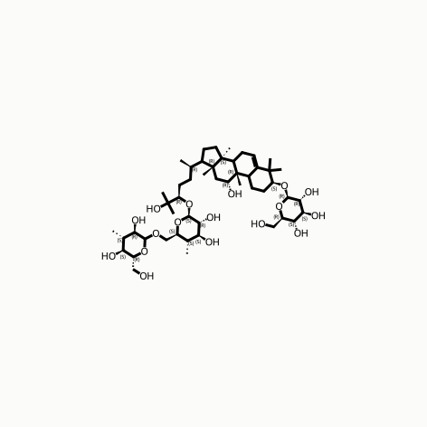 C[C@H]1[C@H](O)[C@@H](O)[C@H](O[C@H](CC[C@@H](C)C2CC[C@@]3(C)C4CC=C5C(CC[C@H](O[C@@H]6O[C@H](CO)[C@@H](O)[C@H](O)[C@H]6O)C5(C)C)[C@]4(C)[C@H](O)C[C@]23C)C(C)(C)O)O[C@@H]1COC1O[C@H](CO)[C@@H](O)[C@H](C)[C@H]1O